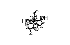 C=CC[N@@+]1(C)CC[C@@]23c4c5ccc(O)c4CC1C2(O)CC[C@H](C)C3O5